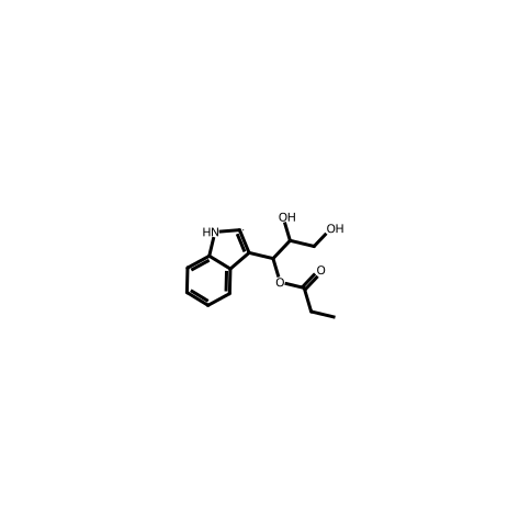 CCC(=O)OC(c1[c][nH]c2ccccc12)C(O)CO